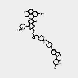 CCc1c(F)ccc2cc(O)cc(-c3ncc4c(N5CCC[C@@](C)(O)C5)nc(OCC5(CN6CCC(F)(CN7CCN(c8ccc9c(cnn9C9CCC(=O)NC9=O)c8)CC7)CC6)CC5)nc4c3F)c12